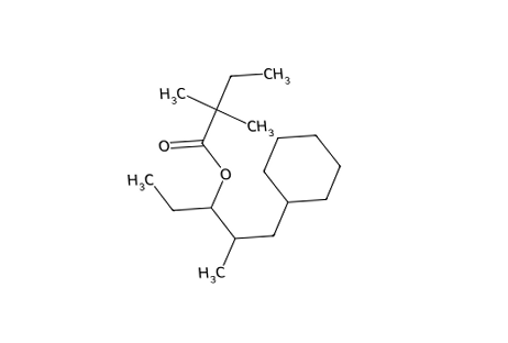 CCC(OC(=O)C(C)(C)CC)C(C)CC1CCCCC1